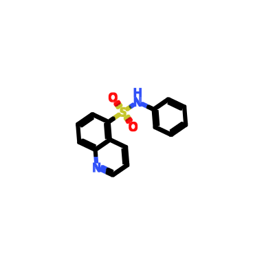 O=S(=O)(Nc1ccccc1)c1cccc2ncccc12